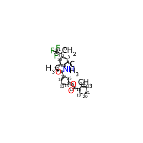 C=C(c1cc(C)c(NC(=O)c2cccc(OC(=O)c3ccccc3C)c2)c(C)c1)C(F)(F)F